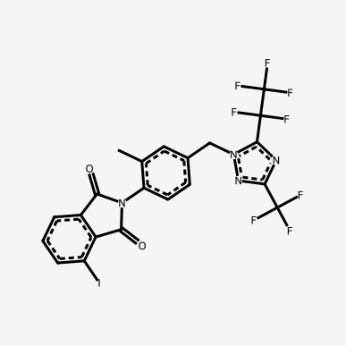 Cc1cc(Cn2nc(C(F)(F)F)nc2C(F)(F)C(F)(F)F)ccc1N1C(=O)c2cccc(I)c2C1=O